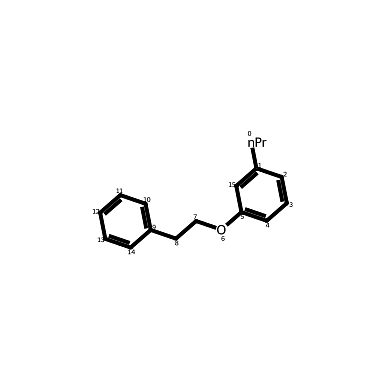 C[CH]Cc1cccc(OCCc2ccccc2)c1